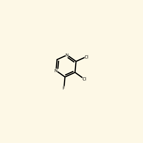 Fc1ncnc(Cl)c1Cl